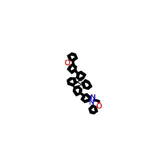 c1ccc([Si](c2ccccc2)(c2cccc(-c3ccc4c(c3)nc3n4-c4ccccc4OC3)c2)c2cccc(-c3ccc4oc5ccccc5c4c3)c2)cc1